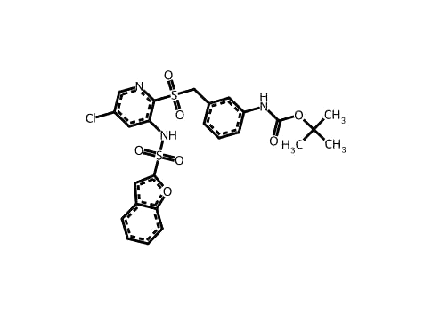 CC(C)(C)OC(=O)Nc1cccc(CS(=O)(=O)c2ncc(Cl)cc2NS(=O)(=O)c2cc3ccccc3o2)c1